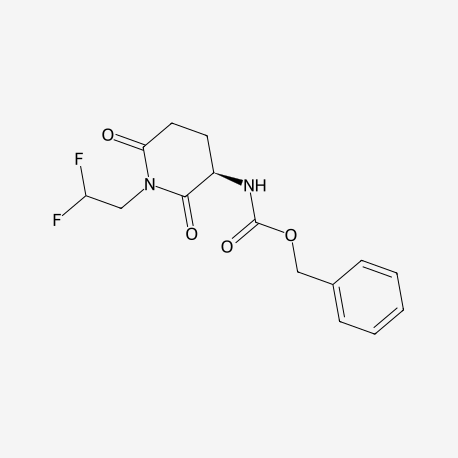 O=C(N[C@@H]1CCC(=O)N(CC(F)F)C1=O)OCc1ccccc1